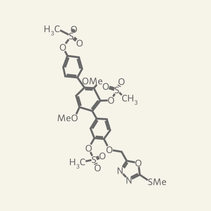 COc1cc(-c2ccc(OS(C)(=O)=O)cc2)c(OC)c(OS(C)(=O)=O)c1-c1ccc(OCc2nnc(SC)o2)c(OS(C)(=O)=O)c1